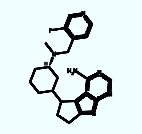 CN(Cc1ccncc1F)[C@H]1CCCC(C2CCc3sc4ncnc(N)c4c32)C1